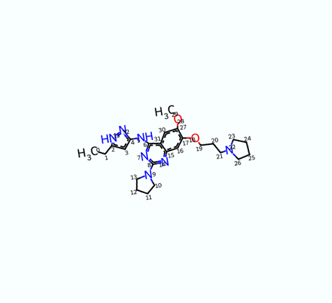 CCc1cc(Nc2nc(N3CCCC3)nc3cc(OCCCN4CCCC4)c(OC)cc23)n[nH]1